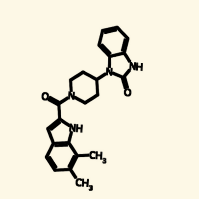 Cc1ccc2cc(C(=O)N3CCC(n4c(=O)[nH]c5ccccc54)CC3)[nH]c2c1C